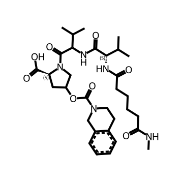 CNC(=O)CCCCC(=O)N[C@H](C(=O)NC(C(=O)N1CC(OC(=O)N2CCc3ccccc3C2)C[C@H]1C(=O)O)C(C)C)C(C)C